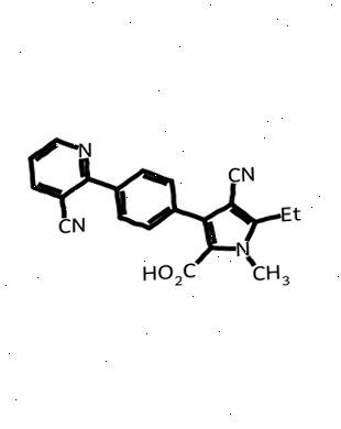 CCc1c(C#N)c(-c2ccc(-c3ncccc3C#N)cc2)c(C(=O)O)n1C